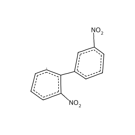 O=[N+]([O-])c1cccc(-c2[c]cccc2[N+](=O)[O-])c1